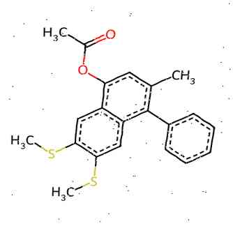 CSc1cc2c(OC(C)=O)cc(C)c(-c3ccccc3)c2cc1SC